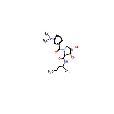 CCCC(C)NC(=O)C1[C@H](O)[C@@H](O)CN1C(=O)c1cccc(N(C)C)c1